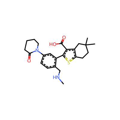 CNCc1ccc(N2CCCCC2=O)cc1-c1sc2c(c1C(=O)O)CC(C)(C)CC2